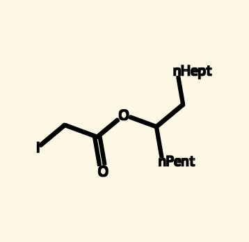 CCCCCCCCC(CCCCC)OC(=O)CI